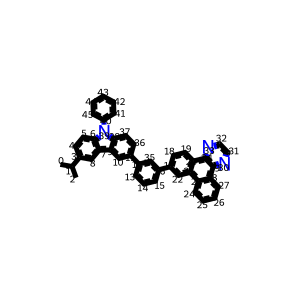 CC(C)c1ccc2c(c1)c1cc(-c3cccc(-c4ccc5c(c4)c4ccccc4c4nccnc54)c3)ccc1n2-c1ccccc1